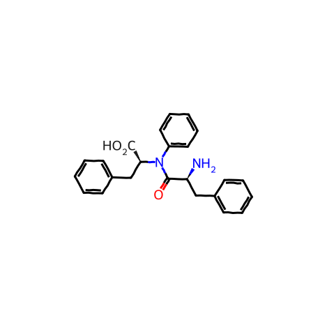 N[C@@H](Cc1ccccc1)C(=O)N(c1ccccc1)[C@@H](Cc1ccccc1)C(=O)O